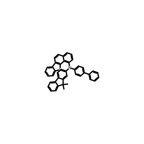 CC1(C)c2ccccc2-c2ccc(N(c3ccc(-c4ccccc4)cc3)c3cccc4ccc5c6ccccc6sc5c34)cc21